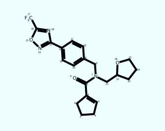 O=C(C1=CCCC1)N(Cc1ccc(-c2noc(C(F)(F)F)n2)cc1)CC1CCCO1